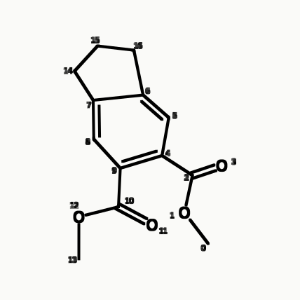 COC(=O)c1cc2c(cc1C(=O)OC)CCC2